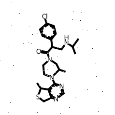 CC(C)NCC(C(=O)N1CCN(c2ncnc3c2C(C)SC3)C(C)C1)c1ccc(Cl)cc1